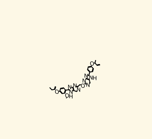 C=CC(C)Oc1ccc(-c2nc3nc(OCc4ncc5[nH]c(-c6ccc(OC(=C)CC)cc6OC)nc5n4)ncc3[nH]2)cc1